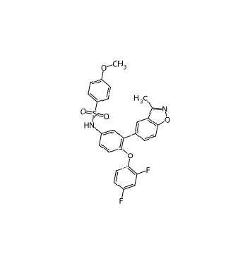 COc1ccc(S(=O)(=O)Nc2ccc(Oc3ccc(F)cc3F)c(-c3ccc4onc(C)c4c3)c2)cc1